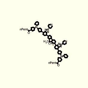 CCCCCC(=O)c1ccc(N(c2ccccc2)c2ccc(-c3ccc(-c4ccc5c(c4)C(C)(C)c4cc(-c6ccc(-c7ccc(N(c8ccccc8)c8ccc(C(=O)CCCCC)cc8)cc7)c7nn(-c8ccncc8)nc67)ccc4-5)c4nn(-c5ccncc5)nc34)cc2)cc1